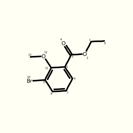 CCOC(=O)c1cccc(Br)c1OC